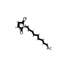 CC(=O)CCCCCCCCCN1C(=O)C=CC1=O